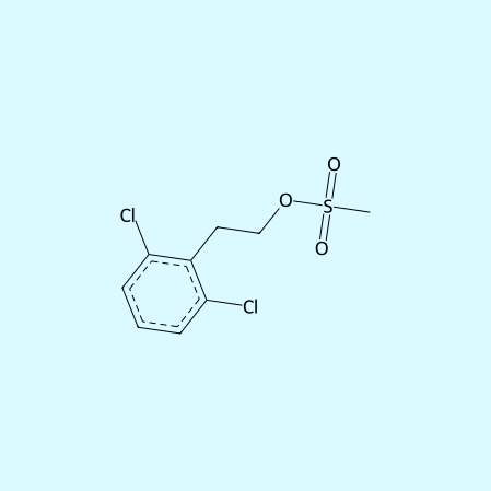 CS(=O)(=O)OCCc1c(Cl)cccc1Cl